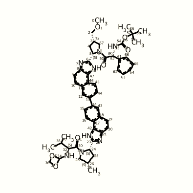 COC[C@H]1C[C@@H](c2nc3ccc4cc(-c5ccc6c(ccc7nc([C@@H]8C[C@H](C)CN8C(=O)[C@@H](NC8OCO8)C(C)C)[nH]c76)c5)ccc4c3[nH]2)N(C(=O)[C@H](NC(=O)OC(C)(C)C)c2ccccc2)C1